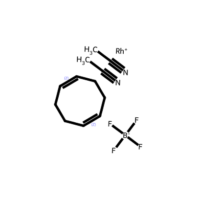 C1=C\CC/C=C\CC/1.CC#N.CC#N.F[B-](F)(F)F.[Rh+]